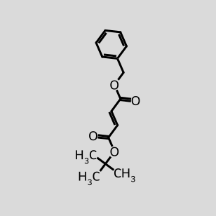 CC(C)(C)OC(=O)/C=C/C(=O)OCc1ccccc1